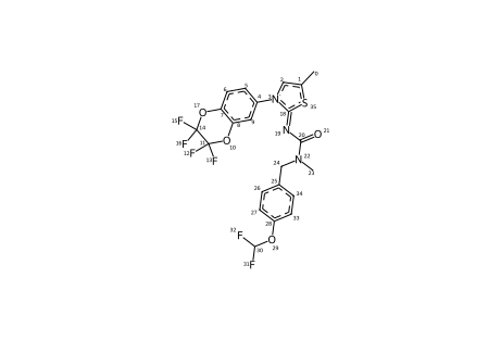 Cc1cn(-c2ccc3c(c2)OC(F)(F)C(F)(F)O3)c(=NC(=O)N(C)Cc2ccc(OC(F)F)cc2)s1